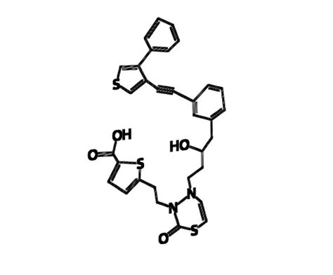 O=C(O)c1ccc(CCN2C(=O)SC=CN2CCC(O)Cc2cccc(C#Cc3cscc3-c3ccccc3)c2)s1